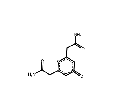 NC(=O)Cc1cc(=O)cc(CC(N)=O)o1